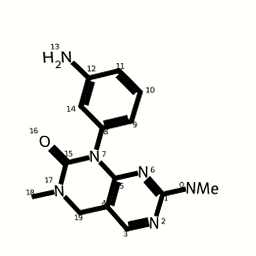 CNc1ncc2c(n1)N(c1cccc(N)c1)C(=O)N(C)C2